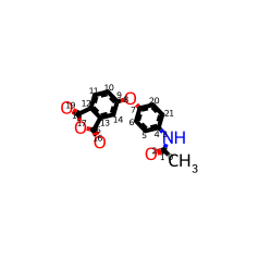 CC(=O)Nc1ccc(Oc2ccc3c(c2)C(=O)OC3=O)cc1